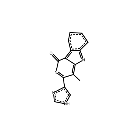 CC1=C2N=c3ccccc3=C2C(=O)N=C1c1c[nH]cn1